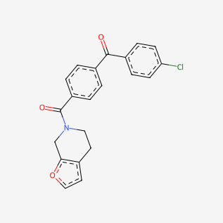 O=C(c1ccc(Cl)cc1)c1ccc(C(=O)N2CCc3ccoc3C2)cc1